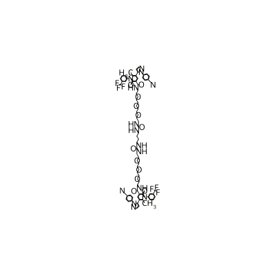 Cc1c(-c2ccnn2-c2ccc(C#N)cc2)cc(C(=O)NCCOCCOCCOCCNC(=O)NCCCCNC(=O)NCCOCCOCCOCCNC(=O)c2cc(-c3ccnn3-c3ccc(C#N)cc3)c(C)n(-c3cccc(C(F)(F)F)c3)c2=O)c(=O)n1-c1cccc(C(F)(F)F)c1